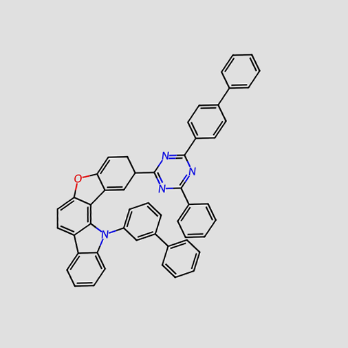 C1=c2oc3ccc4c5ccccc5n(-c5cccc(-c6ccccc6)c5)c4c3c2=CC(c2nc(-c3ccccc3)nc(-c3ccc(-c4ccccc4)cc3)n2)C1